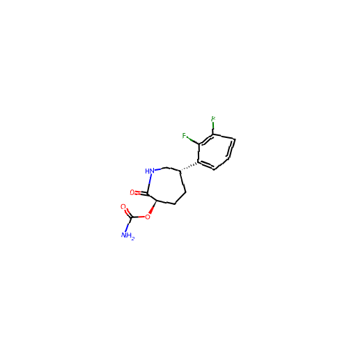 NC(=O)O[C@@H]1CC[C@@H](c2cccc(F)c2F)CNC1=O